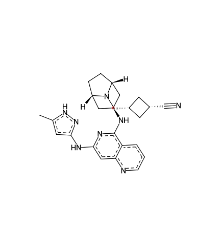 Cc1cc(Nc2cc3ncccc3c(N[C@@H]3C[C@H]4CC[C@@H](C3)N4C[C@H]3C[C@@H](C#N)C3)n2)n[nH]1